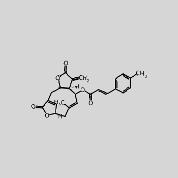 C=C1C(=O)OC2CC3=C[C@@H](C/C(C)=C/C(OC(=O)/C=C/c4ccc(C)cc4)[C@H]12)OC3=O